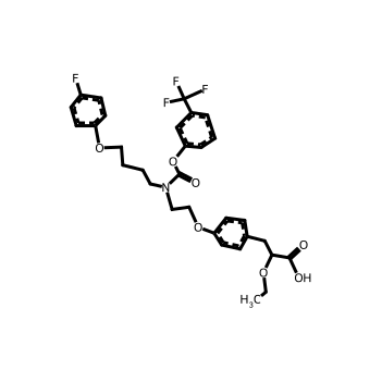 CCOC(Cc1ccc(OCCN(CCCCOc2ccc(F)cc2)C(=O)Oc2cccc(C(F)(F)F)c2)cc1)C(=O)O